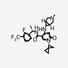 C[C@@H](NC(=O)c1cn([C@H]2CC23CC3)c(=O)cc1NC1[C@H]2CN(C)C[C@@H]12)c1cccc(C(F)(F)F)c1F